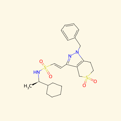 C[C@@H](NS(=O)(=O)/C=C/c1nn(Cc2ccccc2)c2c1CS(=O)(=O)CC2)C1CCCCC1